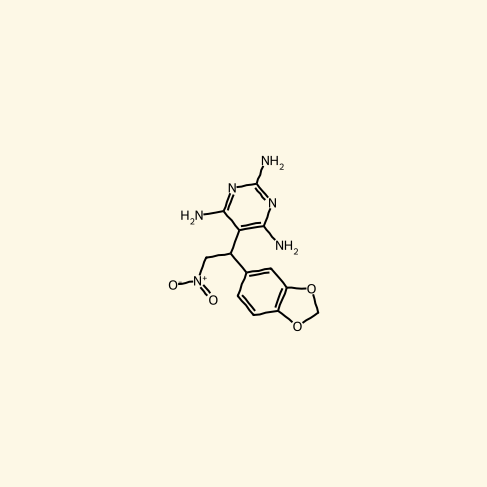 Nc1nc(N)c(C(C[N+](=O)[O-])c2ccc3c(c2)OCO3)c(N)n1